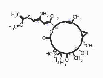 C=C(OC)S/C=C(N)/C=C(\C)[C@@H]1C/C=C(/C)CC2CC2[C@H](C)[C@H](O)[C@@H](C)C(=O)C(C)(C)[C@@H](O)CC(=O)O1